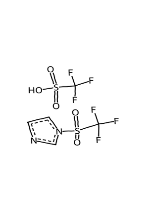 O=S(=O)(O)C(F)(F)F.O=S(=O)(n1ccnc1)C(F)(F)F